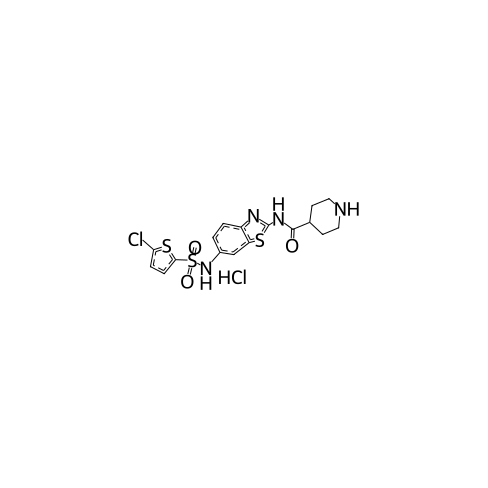 Cl.O=C(Nc1nc2ccc(NS(=O)(=O)c3ccc(Cl)s3)cc2s1)C1CCNCC1